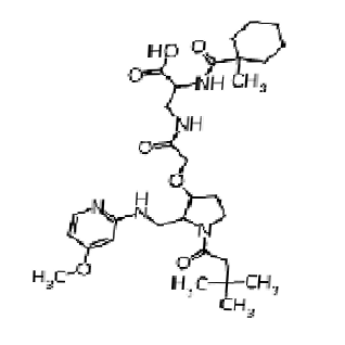 COc1ccnc(NCC2C(OCC(=O)NCC(NC(=O)C3(C)CCCCC3)C(=O)O)CCN2C(=O)CC(C)(C)C)c1